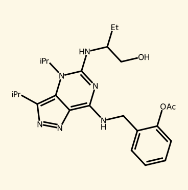 CCC(CO)Nc1nc(NCc2ccccc2OC(C)=O)c2nnc(C(C)C)c-2n1C(C)C